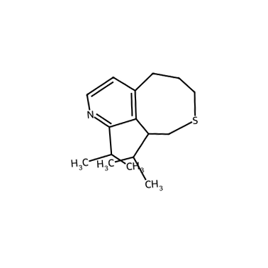 CC(C)c1nccc2c1C(C(C)C)CSCCC2